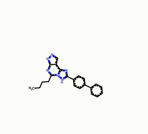 CCCCc1nc2nncc-2c2nc(-c3ccc(-c4ccccc4)cc3)[nH]n12